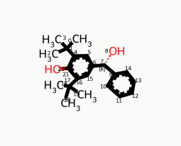 CC(C)(C)c1cc([C@H](O)c2ccccc2)cc(C(C)(C)C)c1O